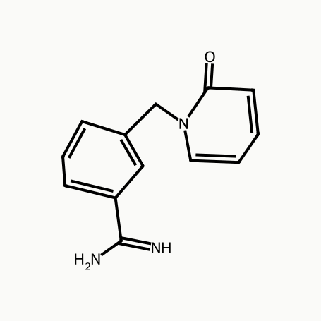 N=C(N)c1cccc(Cn2ccccc2=O)c1